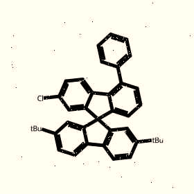 CC(C)(C)c1ccc2c(c1)C1(c3cc(C(C)(C)C)ccc3-2)c2cc(Cl)ccc2-c2c(-c3ccccc3)cccc21